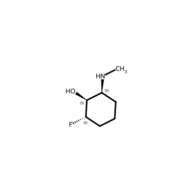 CN[C@H]1CCC[C@H](F)[C@H]1O